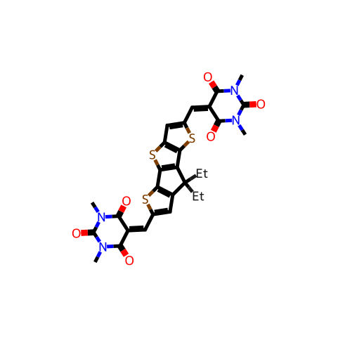 CCC1(CC)c2cc(C=C3C(=O)N(C)C(=O)N(C)C3=O)sc2-c2sc3cc(C=C4C(=O)N(C)C(=O)N(C)C4=O)sc3c21